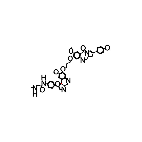 CNCC(=O)Nc1ccc(C2=CN(C)C(/C=N\c3cc(OCCCOc4cc5c(cc4OC)C(=O)N4C=C(c6ccc(OC)cc6)CC4C=N5)c(OC)cc3C=O)C2)cc1